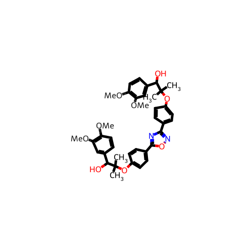 COc1ccc(C(O)C(C)(C)Oc2ccc(-c3noc(-c4ccc(OC(C)(C)C(O)c5ccc(OC)c(OC)c5)cc4)n3)cc2)cc1OC